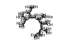 CCC(CO)(CO)COCC(CC)(CO)COCC(CC)(COCC(CC)(CO)CO)COCC(CC)(COCC(CC)(CO)CO)COCC(CC)(COCC(CC)(CO)COC)COCC(CC)(CO)COCC(CC)(COCC(CC)(CO)COCC(CC)(CO)CO)COCC(CC)(COCC(CC)(CO)CO)COCC(CC)(CO)CO